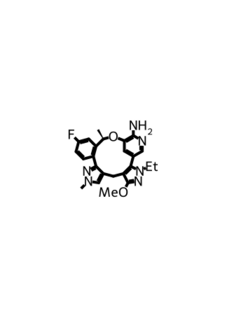 CCn1nc(OC)c2c1-c1cnc(N)c(c1)O[C@H](C)c1cc(F)ccc1-c1nn(C)cc1C2